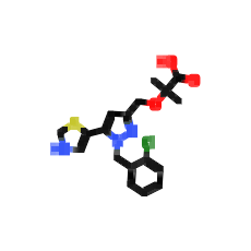 CC(C)(OCc1cc(C2=CNCS2)n(Cc2ccccc2Cl)n1)C(=O)O